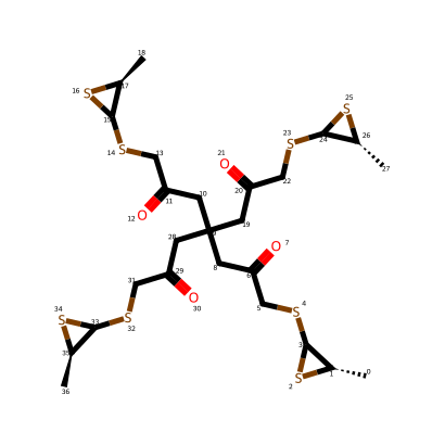 C[C@@H]1SC1SCC(=O)CC(CC(=O)CSC1S[C@H]1C)(CC(=O)CSC1S[C@@H]1C)CC(=O)CSC1S[C@@H]1C